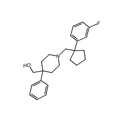 OCC1(c2ccccc2)CCN(CC2(c3cccc(F)c3)CCCC2)CC1